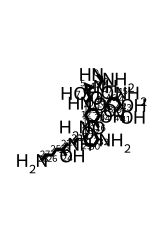 N=C(N)NC1CC1(O)C(=O)N[C@@H]1C[C@H](N)C(O[C@H]2O[C@H](CNCC(O)CCCN)CC[C@H]2N)[C@H](O)[C@H]1O[C@H]1O[C@H](CO)[C@@H](O)[C@H](N)[C@H]1O